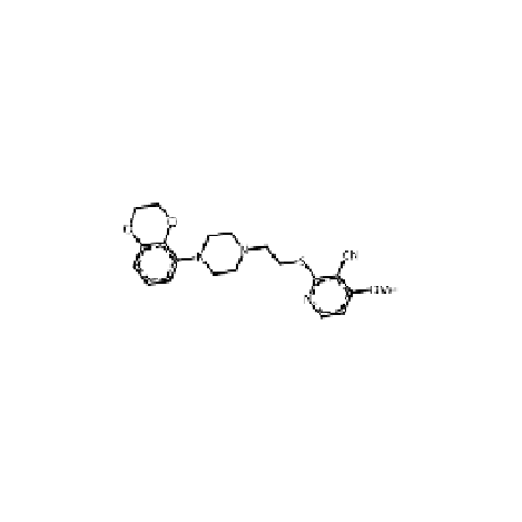 COc1ccnc(SCCN2CCN(c3cccc4c3OCCO4)CC2)c1C#N